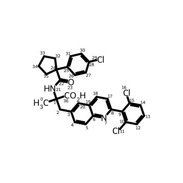 CC(Cc1ccc2nc(-c3c(Cl)cccc3Cl)ccc2c1)(NC(=O)C1(c2ccc(Cl)cc2)CCCC1)C(=O)O